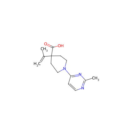 C=C(C)C1(C(=O)O)CCN(c2ccnc(C)n2)CC1